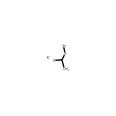 CCOC(C)[O-].[K+]